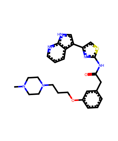 CN1CCN(CCCOc2cccc(CC(=O)Nc3nc(-c4c[nH]c5ncccc45)cs3)c2)CC1